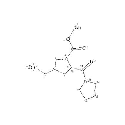 CC(C)(C)OC(=O)N1CC(CC(=O)O)C[C@H]1C(=O)N1CCCC1